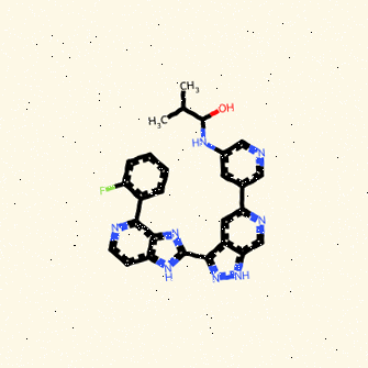 CC(C)C(O)Nc1cncc(-c2cc3c(-c4nc5c(-c6ccccc6F)nccc5[nH]4)n[nH]c3cn2)c1